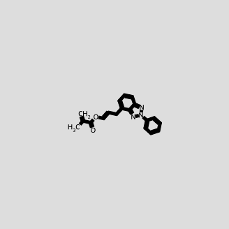 C=C(C)C(=O)OC=CCc1cccc2nn(-c3ccccc3)nc12